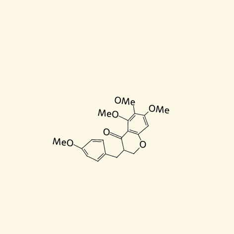 COc1ccc(CC2COc3cc(OC)c(OC)c(OC)c3C2=O)cc1